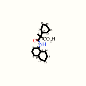 CC(C(=O)O)(C(=O)NC1CCCC2CCCCC21)C1CCCCC1